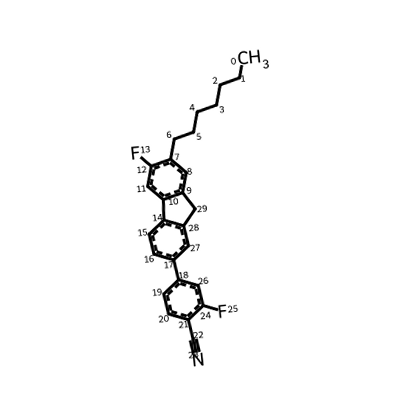 CCCCCCCc1cc2c(cc1F)-c1ccc(-c3ccc(C#N)c(F)c3)cc1C2